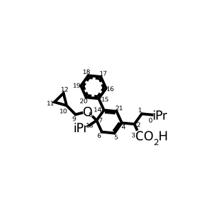 CC(C)CC(C(=O)O)C1=CCC(OCC2CC2)(C(C)C)C(c2ccccc2)=C1